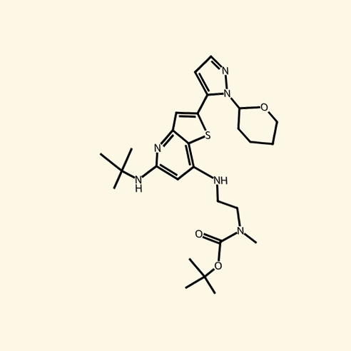 CN(CCNc1cc(NC(C)(C)C)nc2cc(-c3ccnn3C3CCCCO3)sc12)C(=O)OC(C)(C)C